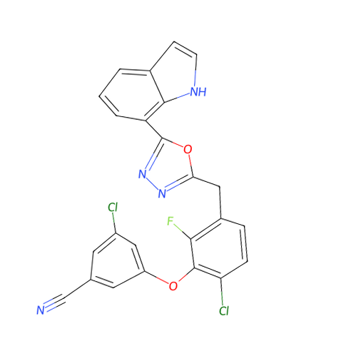 N#Cc1cc(Cl)cc(Oc2c(Cl)ccc(Cc3nnc(-c4cccc5cc[nH]c45)o3)c2F)c1